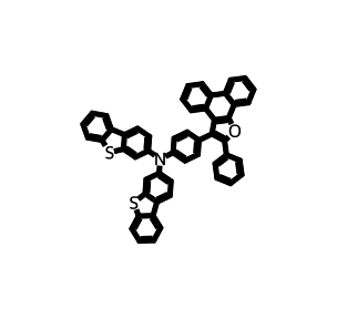 c1ccc(-c2oc3c4ccccc4c4ccccc4c3c2-c2ccc(N(c3ccc4c(c3)sc3ccccc34)c3ccc4c(c3)sc3ccccc34)cc2)cc1